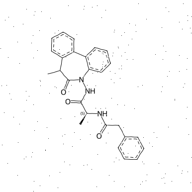 CC1C(=O)N(NC(=O)[C@H](C)NC(=O)Cc2ccccc2)c2ccccc2-c2ccccc21